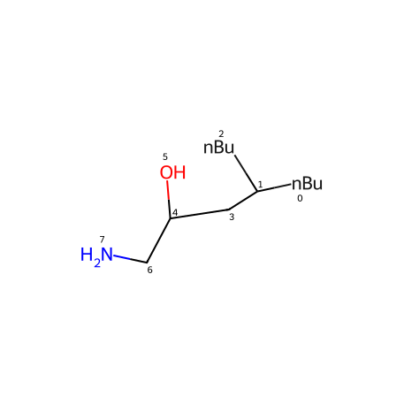 CCCCC(CCCC)CC(O)CN